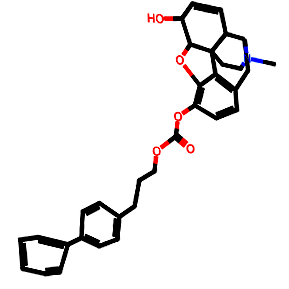 CN1CCC23c4c5ccc(OC(=O)OCCCc6ccc(-c7ccccc7)cc6)c4OC2C(O)C=CC3C1C5